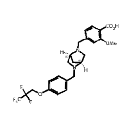 COc1cc(CN2C[C@@H]3C[C@H]2CN3Cc2ccc(OCC(F)(F)C(F)(F)F)cc2)ccc1C(=O)O